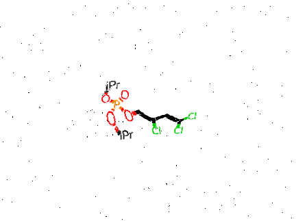 CC(C)OP(=O)(OC=C(Cl)C=C(Cl)Cl)OC(C)C